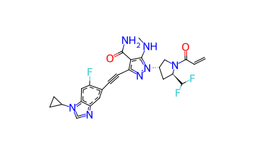 C=CC(=O)N1C[C@@H](n2nc(C#Cc3cc4ncn(C5CC5)c4cc3F)c(C(N)=O)c2NC)C[C@@H]1C(F)F